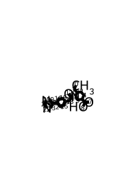 CCC1CCC(C(=O)O)CN1C(=O)Cc1ccc(-c2cncnc2)cc1